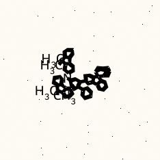 CC1(C)c2ccccc2-c2ccc(N(c3ccc(-c4ccccc4)c(-c4ccc5c(c4)-c4ccccc4C54C5CC6CC(C5)CC4C6)c3)c3cccc4c3-c3ccccc3C4(C)C)cc21